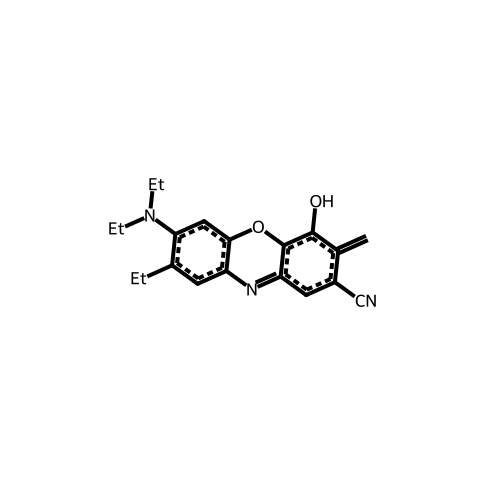 C=c1c(C#N)cc2c(c1O)Oc1cc(N(CC)CC)c(CC)cc1N=2